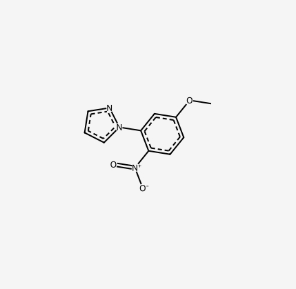 COc1ccc([N+](=O)[O-])c(-n2cccn2)c1